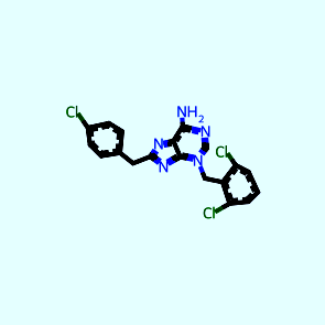 Nc1ncn(Cc2c(Cl)cccc2Cl)c2nc(Cc3ccc(Cl)cc3)nc1-2